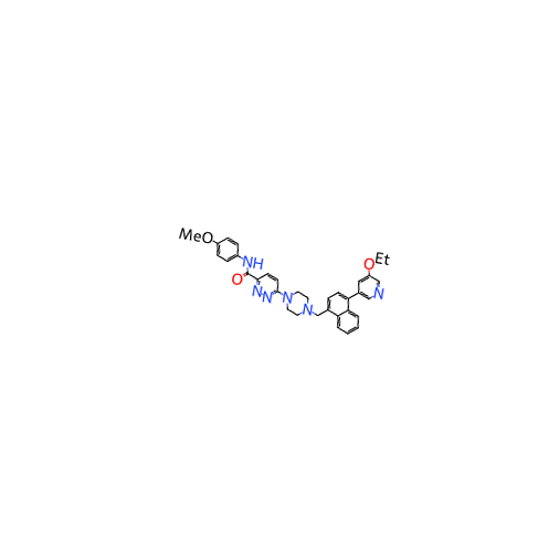 CCOc1cncc(-c2ccc(CN3CCN(c4ccc(C(=O)Nc5ccc(OC)cc5)nn4)CC3)c3ccccc23)c1